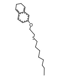 CCCCCCCCSCCOc1ccc2c(c1)=CCCC=2